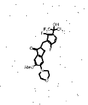 COc1cc2c(cc1N1CCOCC1)CC(Cc1c(F)ccc(C(O)(C(F)(F)F)C(F)(F)F)c1F)C2=O